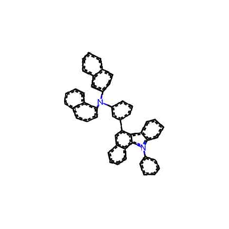 c1ccc(-n2c3ccccc3c3c(-c4cccc(N(c5ccc6ccccc6c5)c5cccc6ccccc56)c4)cc4ccccc4c32)cc1